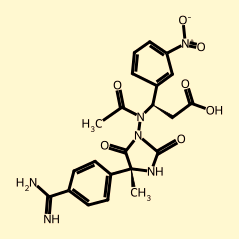 CC(=O)N([C@H](CC(=O)O)c1cccc([N+](=O)[O-])c1)N1C(=O)N[C@](C)(c2ccc(C(=N)N)cc2)C1=O